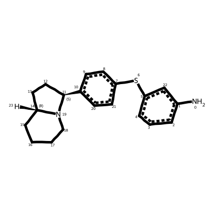 Nc1cccc(Sc2ccc([C@@H]3CC[C@H]4CCCCN43)cc2)c1